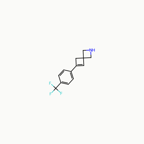 FC(F)(F)c1ccc(C2=CC3(CNC3)C2)cc1